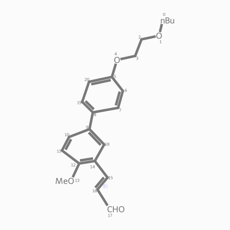 CCCCOCCOc1ccc(-c2ccc(OC)c(/C=C/C=O)c2)cc1